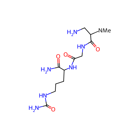 CNC(CN)C(=O)NCC(=O)NC(CCCNC(N)=O)C(N)=O